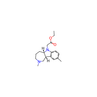 CCOC(=O)CN1c2ccc(C)cc2[C@@H]2CN(C)CCC[C@@H]21